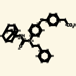 O=C(O)Cc1ccc(Sc2ccc(N(CCc3ccccc3)C(=O)NC34CC5CC(CC(C5)C3)C4)cc2)cc1